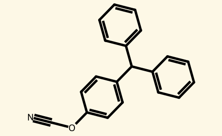 N#COc1ccc(C(c2ccccc2)c2ccccc2)cc1